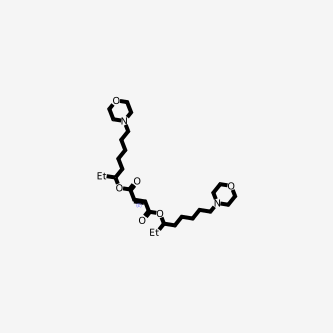 CCC(CCCCCN1CCOCC1)OC(=O)/C=C/C(=O)OC(CC)CCCCCN1CCOCC1